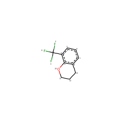 FC(F)(F)c1cccc2c1OCCC2